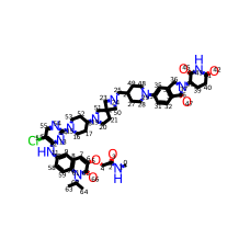 CNC(=O)COc1cc2cc(Nc3nc(N4CCC(N5CCC6(CN(CC7CCN(c8ccc9c(c8)CN(C8CCC(=O)NC8=O)C9=O)CC7)C6)C5)CC4)ncc3Cl)ccc2n(C(C)C)c1=O